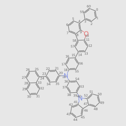 c1ccc(-c2cccc3c2oc2ccc(-c4ccc(N(c5ccc(-c6cccc7ccccc67)cc5)c5ccc(-n6c7ccccc7c7ccccc76)cc5)cc4)cc23)cc1